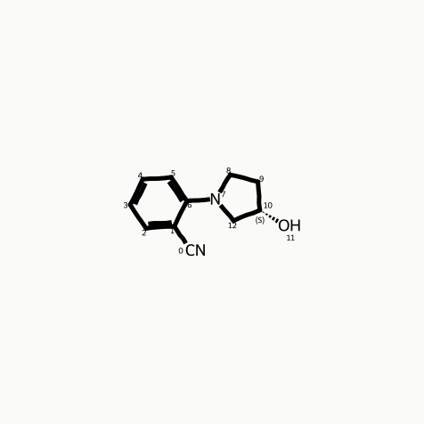 N#Cc1ccccc1N1CC[C@H](O)C1